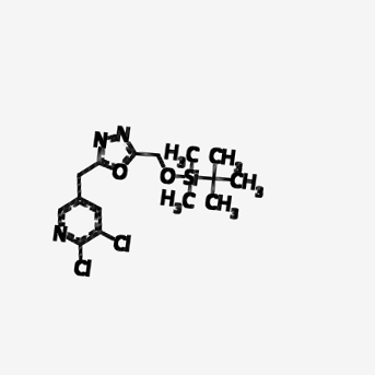 CC(C)(C)[Si](C)(C)OCc1nnc(Cc2cnc(Cl)c(Cl)c2)o1